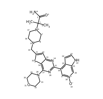 CC(C)(C(N)=O)N1CCN(Cc2cc3nc(-c4c[n+]([O-])cc5[nH]ccc45)nc(N4CCOCC4)c3s2)CC1